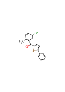 O=C(c1ccc(-c2ccccc2)s1)c1cc(Br)ccc1C(F)(F)F